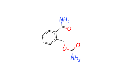 NC(=O)OCc1ccccc1C(N)=O